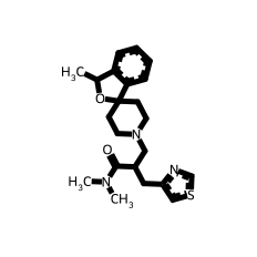 CC1OC2(CCN(CC(Cc3cscn3)C(=O)N(C)C)CC2)c2ccccc21